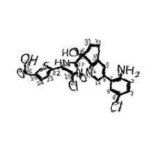 Nc1ccc(Cl)cc1-c1cc2c([n+]([O-])c1)C(O)(c1nc(Cl)c(-c3ccc(C(=O)O)s3)[nH]1)CC2